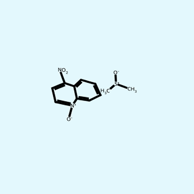 C[S+](C)[O-].O=[N+]([O-])c1cc[n+]([O-])c2ccccc12